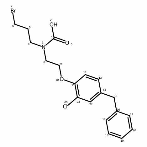 O=C(O)N(CCCBr)CCOc1ccc(Cc2ccccc2)cc1Cl